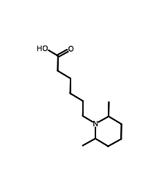 CC1CCCC(C)N1CCCCCC(=O)O